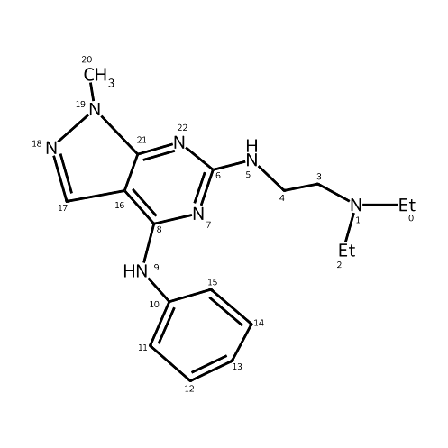 CCN(CC)CCNc1nc(Nc2ccccc2)c2cnn(C)c2n1